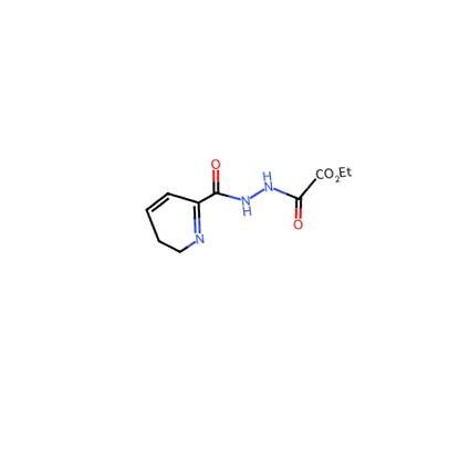 CCOC(=O)C(=O)NNC(=O)C1=NCCC=C1